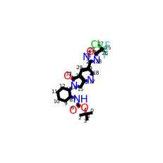 CC(C)(C)OC(=O)NC1CCCCC1N1Cc2ncc(-c3noc(C(F)(F)Cl)n3)cc2C1=O